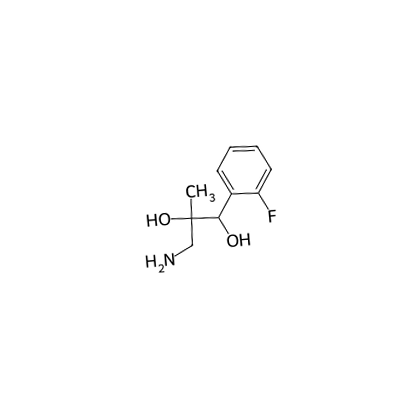 CC(O)(CN)C(O)c1ccccc1F